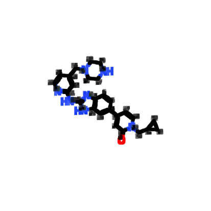 O=c1cc(-c2ccc3nc(Nc4cc(CN5CCNCC5)ccn4)[nH]c3c2)ccn1CC1CC1